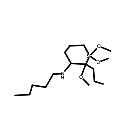 CCCCCNC1CCC[Si](OC)(OC)C1(CCC)OC